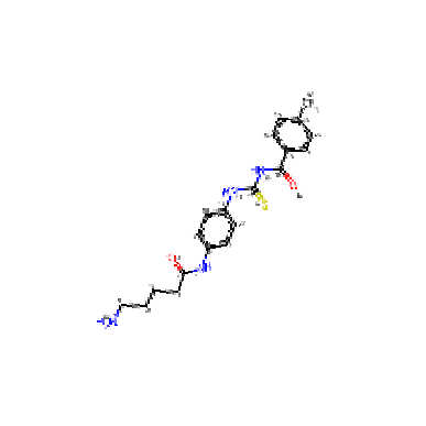 NCCCCC(=O)Nc1ccc(NC(=S)NC(=O)c2ccc(C(F)(F)F)cc2)cc1